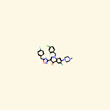 CN1CCN(c2cc3c(cc2F)c(=O)c(-c2noc(Cc4ccc(F)cc4)n2)cn3Cc2ccc(Cl)cc2F)CC1